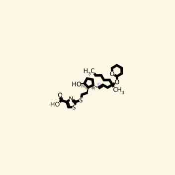 CCCCCC(C)(C/C=C/[C@H]1CC[C@H](O)[C@@H]1CCSc1nc(C(=O)O)cs1)OC1CCCCO1